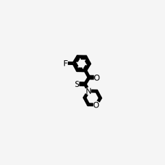 O=C(C(=S)N1CCOCC1)c1cccc(F)c1